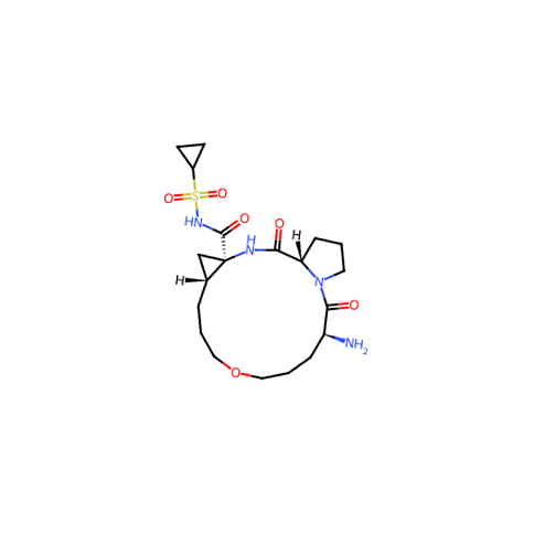 N[C@H]1CCCOCCC[C@@H]2C[C@@]2(C(=O)NS(=O)(=O)C2CC2)NC(=O)[C@@H]2CCCN2C1=O